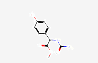 COC(=O)C(NC(N)=O)c1ccc(O)cc1